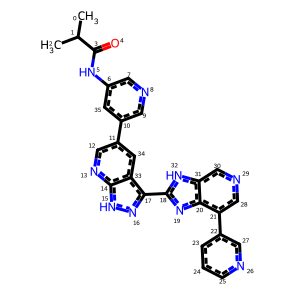 CC(C)C(=O)Nc1cncc(-c2cnc3[nH]nc(-c4nc5c(-c6cccnc6)cncc5[nH]4)c3c2)c1